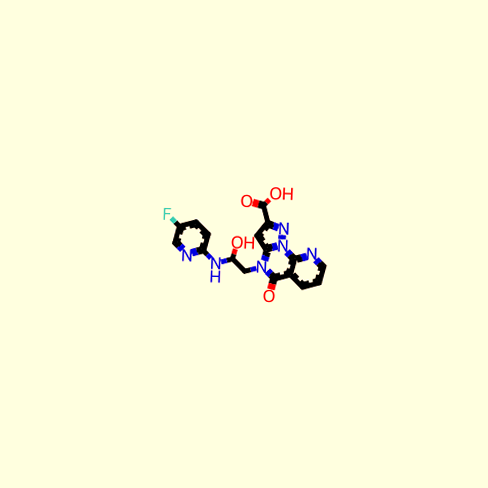 O=C(O)c1cc2n(CC(O)Nc3ccc(F)cn3)c(=O)c3cccnc3n2n1